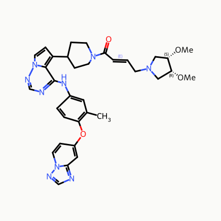 CO[C@H]1CN(C/C=C/C(=O)N2CCC(c3ccn4ncnc(Nc5ccc(Oc6ccn7ncnc7c6)c(C)c5)c34)CC2)C[C@H]1OC